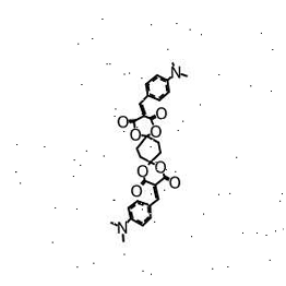 CN(C)c1ccc(C=C2C(=O)OC3(CCC4(CC3)OC(=O)C(=Cc3ccc(N(C)C)cc3)C(=O)O4)OC2=O)cc1